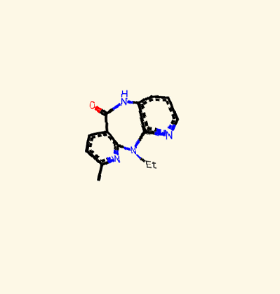 CCN1c2ncccc2NC(=O)c2ccc(C)nc21